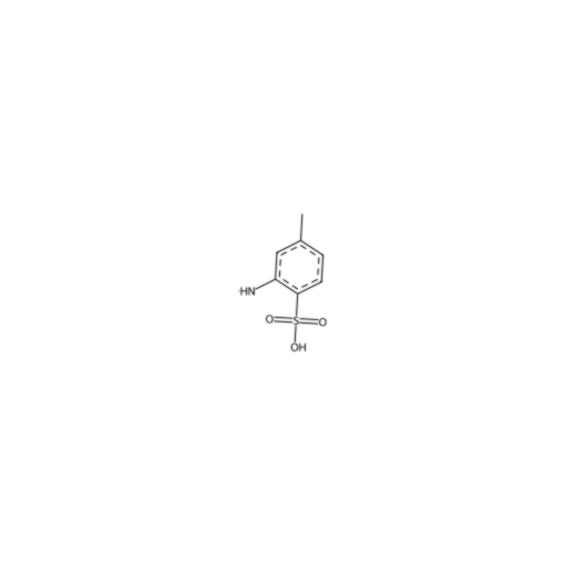 Cc1ccc(S(=O)(=O)O)c([NH])c1